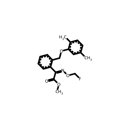 COC(=O)C(=NOCF)c1ccccc1COc1cc(C)ccc1C